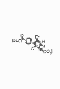 CCc1[nH]c2nc(C(=O)O)nn2c(=O)c1N1CCN(C(=O)OC(C)(C)C)CC1